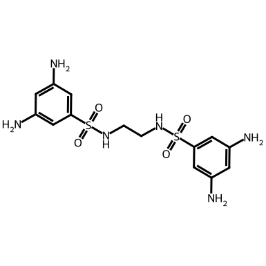 Nc1cc(N)cc(S(=O)(=O)NCCNS(=O)(=O)c2cc(N)cc(N)c2)c1